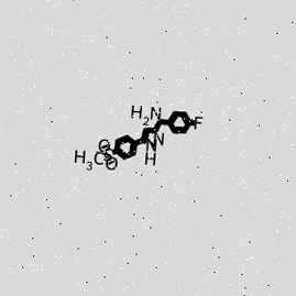 CS(=O)(=O)c1ccc(-c2cc(C(N)c3ccc(F)cc3)n[nH]2)cc1